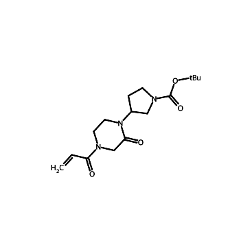 C=CC(=O)N1CCN(C2CCN(C(=O)OC(C)(C)C)C2)C(=O)C1